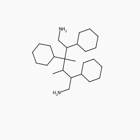 CC(C(CN)C1CCCCC1)C(C)(C1CCCCC1)C(CN)C1CCCCC1